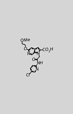 COCCOc1cc2cc(C(=O)O)n(CC(=O)Nc3ccc(Cl)cn3)c2cn1